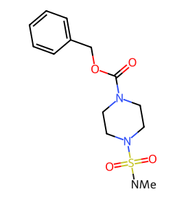 CNS(=O)(=O)N1CCN(C(=O)OCc2ccccc2)CC1